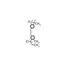 CC=C=C(CC)c1cc(CCCc2ccc(C(C)(C)F)cc2)ccc1C